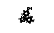 Oc1ccc(C2(c3ccc(F)cc3)OCCO2)cc1